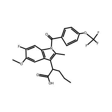 CCCC(C(=O)O)c1c(C)n(C(=O)c2ccc(OC(F)(F)F)cc2)c2cc(F)c(OC)cc12